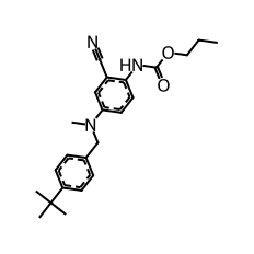 CCCOC(=O)Nc1ccc(N(C)Cc2ccc(C(C)(C)C)cc2)cc1C#N